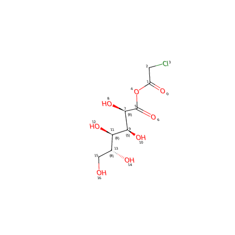 O=C(CCl)OC(=O)[C@H](O)[C@@H](O)[C@H](O)[C@H](O)CO